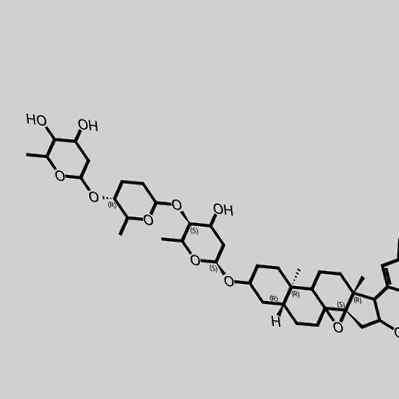 C=C1C=C(C2C(O)C[C@@]34OC35CC[C@@H]3CC(O[C@@H]6CC(O)[C@H](OC7CC[C@@H](OC8CC(O)C(O)C(C)O8)C(C)O7)C(C)O6)CC[C@@]3(C)C5CC[C@]24C)CO1